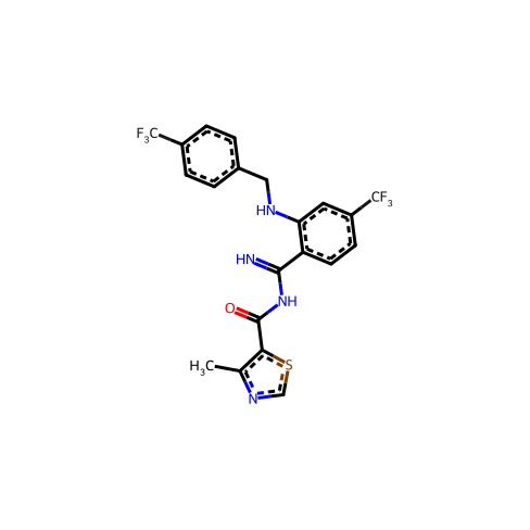 Cc1ncsc1C(=O)NC(=N)c1ccc(C(F)(F)F)cc1NCc1ccc(C(F)(F)F)cc1